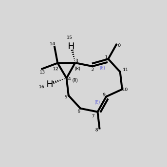 C/C1=C\[C@H]2[C@@H](CC/C(C)=C/CC1)C2(C)C